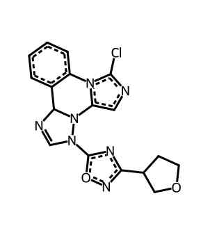 Clc1ncc2n1-c1ccccc1C1N=CN(c3nc(C4CCOC4)no3)N21